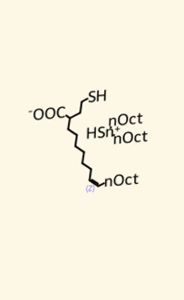 CCCCCCCC/C=C\CCCCCCC(CCS)C(=O)[O-].CCCCCCC[CH2][SnH+][CH2]CCCCCCC